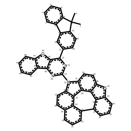 CC1(C)c2ccccc2-c2cc(-c3nc(-n4c5ccc6cccc7c6c5c5c6c(ccc54)sc4cccc-7c46)nc4c3oc3ccccc34)ccc21